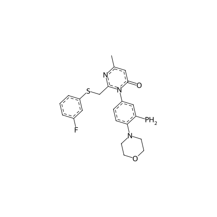 Cc1cc(=O)n(-c2ccc(N3CCOCC3)c(P)c2)c(CSc2cccc(F)c2)n1